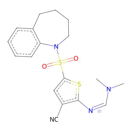 CN(C)/C=N\c1sc(S(=O)(=O)N2CCCCc3ccccc32)cc1C#N